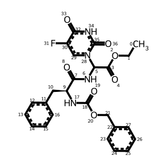 CCOC(=O)C(NC(=O)[C@H](Cc1ccccc1)NC(=O)OCc1ccccc1)n1cc(F)c(=O)[nH]c1=O